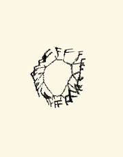 FC1C(F)(F)C(F)(F)C(F)(F)C(F)(F)C(F)(F)C(F)(F)C(F)(F)C(F)(F)C1(F)F